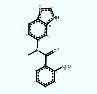 CN(C(=O)c1ccccc1C=O)c1ccc2nc[nH]c2c1